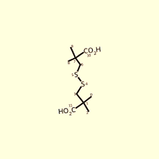 CC(C)(CSSCC(C)(C)C(=O)O)C(=O)O